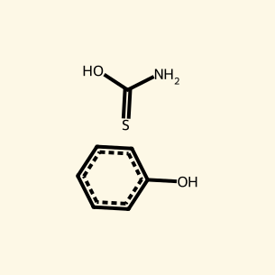 NC(O)=S.Oc1ccccc1